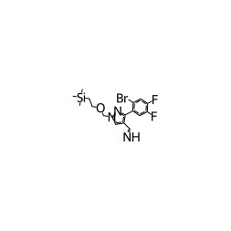 C[Si](C)(C)CCOCn1cc(C=N)c(-c2cc(F)c(F)cc2Br)n1